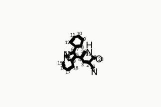 N#Cc1cc(-c2c(-c3ccccc3)nn3ccccc23)c[nH]c1=O